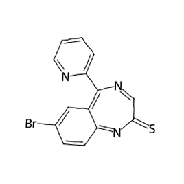 S=c1cnc(-c2ccccn2)c2cc(Br)ccc2n1